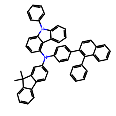 CC1(C)c2ccccc2-c2ccc(N(c3ccc(-c4ccc5ccccc5c4-c4ccccc4)cc3)c3cccc4c3c3ccccc3n4-c3ccccc3)cc21